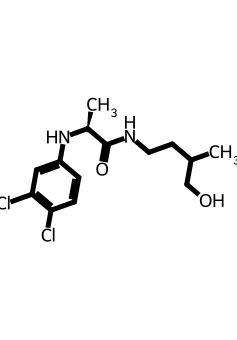 CC(CO)CCNC(=O)[C@H](C)Nc1ccc(Cl)c(Cl)c1